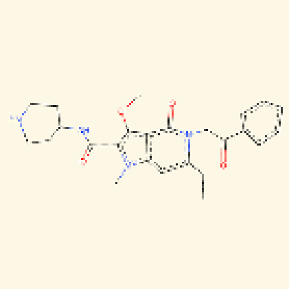 CCc1cc2c(c(OC)c(C(=O)NC3CCNCC3)n2C)c(=O)n1CC(=O)c1ccccc1